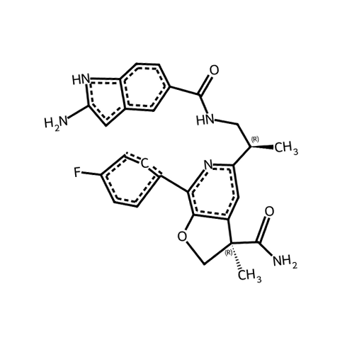 C[C@H](CNC(=O)c1ccc2[nH]c(N)cc2c1)c1cc2c(c(-c3ccc(F)cc3)n1)OC[C@]2(C)C(N)=O